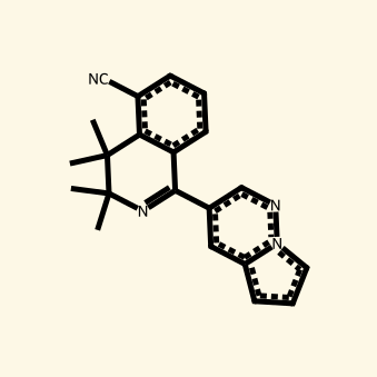 CC1(C)N=C(c2cnn3cccc3c2)c2cccc(C#N)c2C1(C)C